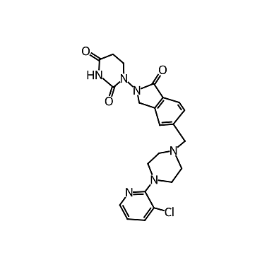 O=C1CCN(N2Cc3cc(CN4CCN(c5ncccc5Cl)CC4)ccc3C2=O)C(=O)N1